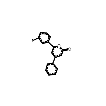 O=c1cc(-c2ccccc2)cc(-c2cccc(F)c2)o1